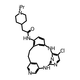 CC(C)N1CCC(CC(=O)Nc2ccc3cc2CCc2cncc(c2)Nc2ncc(Cl)c(n2)N3)CC1